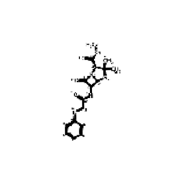 COC(=O)C1N2C(=O)C(NC(=O)COc3ccccc3)C2SC1(C)C